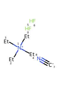 CC[N+](CC)(CC)CC.F.F.[C-]#N